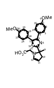 COc1ccc(-c2nc(C3(C)CC=CN3CC(=O)O)sc2-c2ccc(OC)cc2)cc1